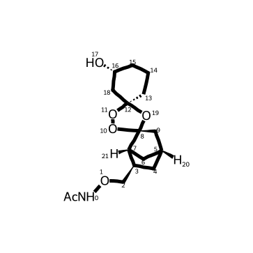 CC(=O)NOC[C@@H]1C[C@@H]2C[C@H]1[C@]1(C2)OO[C@]2(CCC[C@@H](O)C2)O1